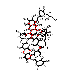 CC1C(O)[C@H](O[C@@H]2OC(CO[C@]3(C(=O)O)C[C@@H](O)[C@@H](N)C([C@H](O)[C@H](O)CO)O3)[C@H](O)C(O)[C@@H]2O)[C@H](CO)O[C@H]1O[C@@H]1C(O)[C@H](O)C(CO)O[C@@H]1OCC1O[C@@H](O[C@@H]2C(CO)O[C@@H](O[C@@H]3C(CO[C@@H]4O[C@@H](C)[C@@H](O)C(O)C4O)O[C@@H](C)[C@@H](C)C3O)[C@@H](C)C2O)[C@H](O)C(O[C@H]2O[C@H](CO)[C@@H](O)C(O)C2O[C@@H]2OC(CO)[C@@H](O[C@@H]3OC(CO[C@]4(C(=O)O)C[C@@H](O)[C@@H](N)C([C@H](O)[C@H](O)CO)O4)[C@H](O)C(O)[C@@H]3O)C(O)[C@@H]2C)[C@@H]1O